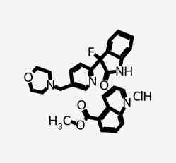 COC(=O)c1cccc2ncccc12.Cl.O=C1Nc2ccccc2C1(F)c1ccc(CN2CCOCC2)cn1